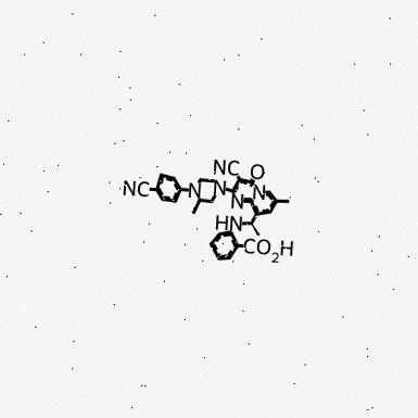 Cc1cc([C@@H](C)Nc2ccccc2C(=O)O)c2nc(N3CCN(c4ccc(C#N)cc4)C(C)C3)c(C#N)c(=O)n2c1